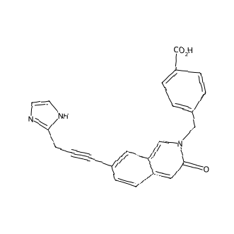 O=C(O)c1ccc(Cn2cc3cc(C#CCc4ncc[nH]4)ccc3cc2=O)cc1